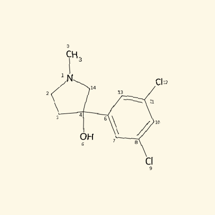 CN1CCC(O)(c2cc(Cl)cc(Cl)c2)C1